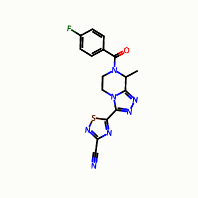 CC1c2nnc(-c3nc(C#N)ns3)n2CCN1C(=O)c1ccc(F)cc1